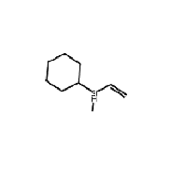 C=C[SiH](C)C1CCCCC1